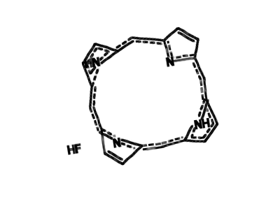 C1=Cc2cc3ccc(cc4nc(cc5ccc(cc1n2)[nH]5)C=C4)[nH]3.F